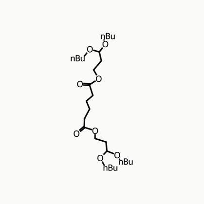 CCCCOC(CCOC(=O)CCCCC(=O)OCCC(OCCCC)OCCCC)OCCCC